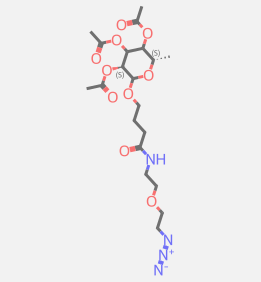 CC(=O)OC1C(OC(C)=O)[C@H](C)OC(OCCCC(=O)NCCOCCN=[N+]=[N-])[C@H]1OC(C)=O